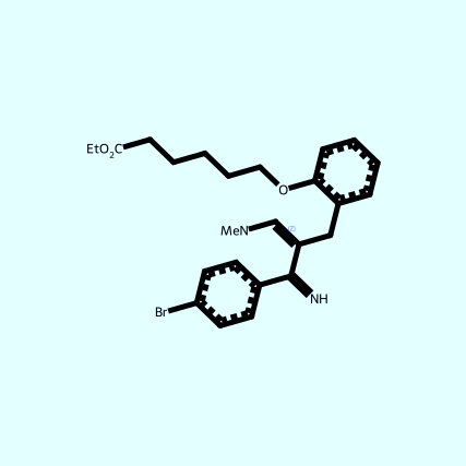 CCOC(=O)CCCCCOc1ccccc1C/C(=C/NC)C(=N)c1ccc(Br)cc1